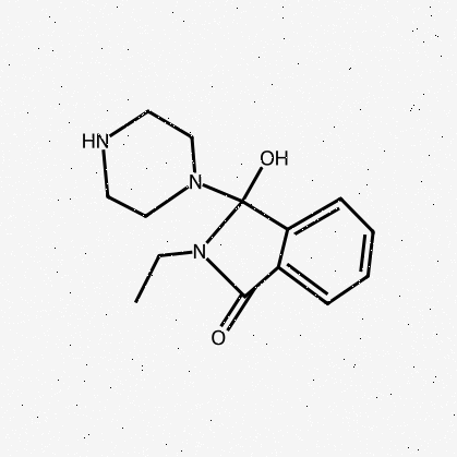 CCN1C(=O)c2ccccc2C1(O)N1CCNCC1